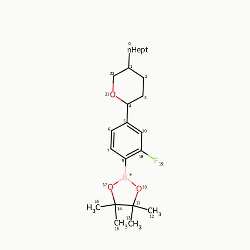 CCCCCCCC1CCC(c2ccc(B3OC(C)(C)C(C)(C)O3)c(F)c2)OC1